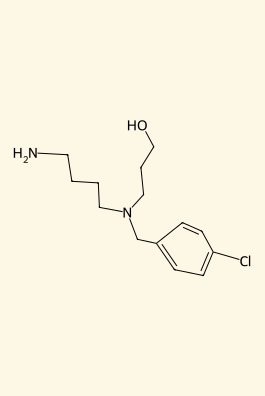 NCCCCN(CCCO)Cc1ccc(Cl)cc1